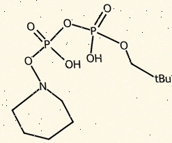 CC(C)(C)COP(=O)(O)OP(=O)(O)ON1CCCCC1